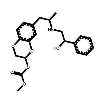 COC(=O)OC1COc2ccc(CC(C)NCC(O)c3ccccc3)cc2O1